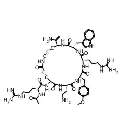 C=C(N)[C@@H]1CCCNC(=O)CC[C@H](NC(=O)[C@H](CCCNC(=N)N)NC(C)=O)C(=O)N[C@@H](CCN)C(=O)N[C@H](Cc2ccc(OC)cc2)C(=O)N[C@@H](CCCNC(=N)N)C(=O)N[C@@H](Cc2c[nH]c3ccccc23)C(=O)N1